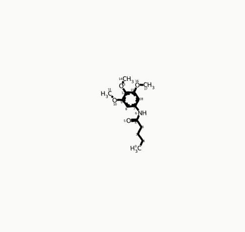 CCCCC(=O)Nc1cc(OC)c(OC)c(OC)c1